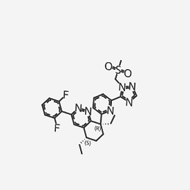 CC[C@H]1CC[C@](CC)(c2cccc(-c3ncnn3CS(C)(=O)=O)n2)c2nnc(-c3c(F)cccc3F)cc21